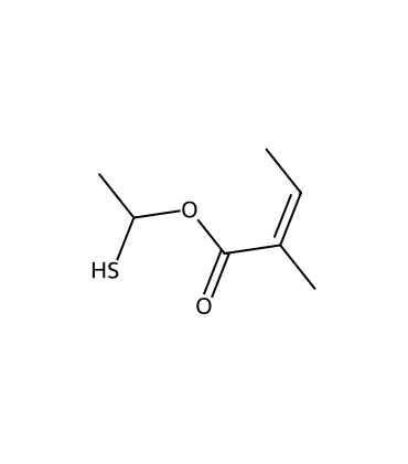 CC=C(C)C(=O)OC(C)S